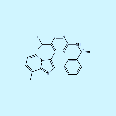 Cc1cccn2c(-c3nc(N[C@@H](C)c4ccccc4)ncc3C(F)F)cnc12